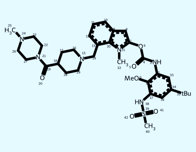 COc1c(NC(=O)Oc2cc3cccc(CN4CCC(C(=O)N5CCN(C)CC5)CC4)c3n2C)cc(C(C)(C)C)cc1NS(C)(=O)=O